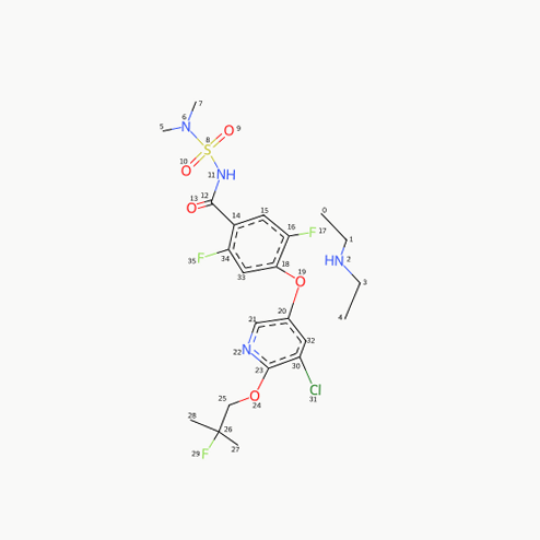 CCNCC.CN(C)S(=O)(=O)NC(=O)c1cc(F)c(Oc2cnc(OCC(C)(C)F)c(Cl)c2)cc1F